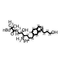 CCCCC(C)(C)C(=O)NC[C@H](O)[C@@H](N)C[C@H](Cc1ccc2cnn(CCCO)c2c1)C(C)C